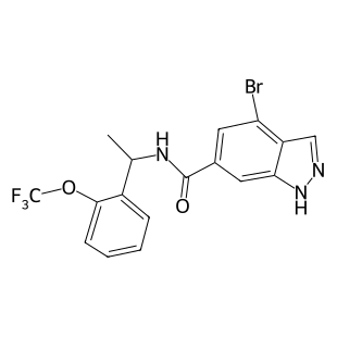 CC(NC(=O)c1cc(Br)c2cn[nH]c2c1)c1ccccc1OC(F)(F)F